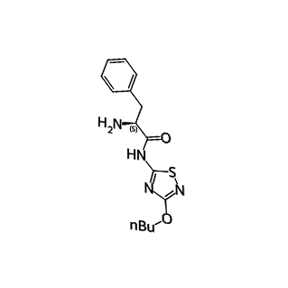 CCCCOc1nsc(NC(=O)[C@@H](N)Cc2ccccc2)n1